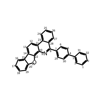 c1ccc(-c2ccc(-c3nc4c(ccc5c6ccccc6oc54)c4ccccc34)cc2)cc1